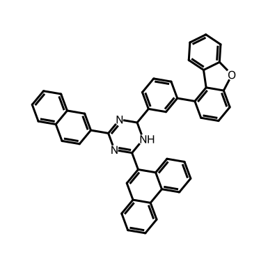 c1cc(-c2cccc3oc4ccccc4c23)cc(C2N=C(c3ccc4ccccc4c3)N=C(c3cc4ccccc4c4ccccc34)N2)c1